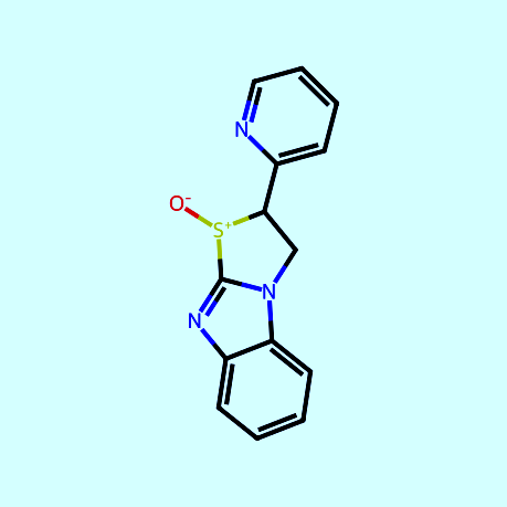 [O-][S+]1c2nc3ccccc3n2CC1c1ccccn1